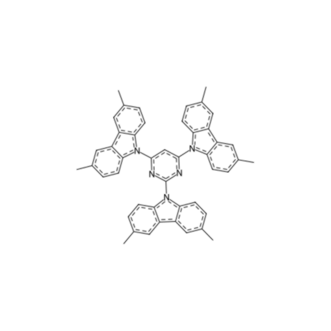 Cc1ccc2c(c1)c1cc(C)ccc1n2-c1cc(-n2c3ccc(C)cc3c3cc(C)ccc32)nc(-n2c3ccc(C)cc3c3cc(C)ccc32)n1